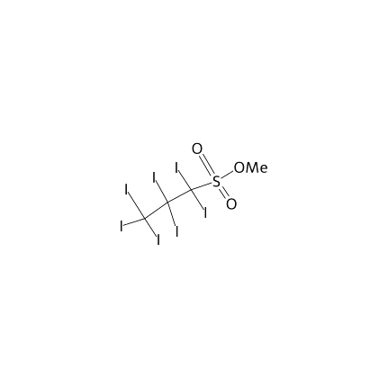 [CH2]OS(=O)(=O)C(I)(I)C(I)(I)C(I)(I)I